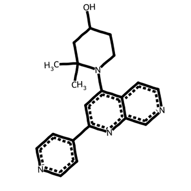 CC1(C)CC(O)CCN1c1cc(-c2ccncc2)nc2cnccc12